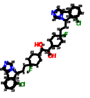 OC(C1CCC(F)(CCC2c3c(Cl)cccc3-c3cncn32)CC1)C(O)C1CCC(F)(CCC2c3c(Cl)cccc3-c3cncn32)CC1